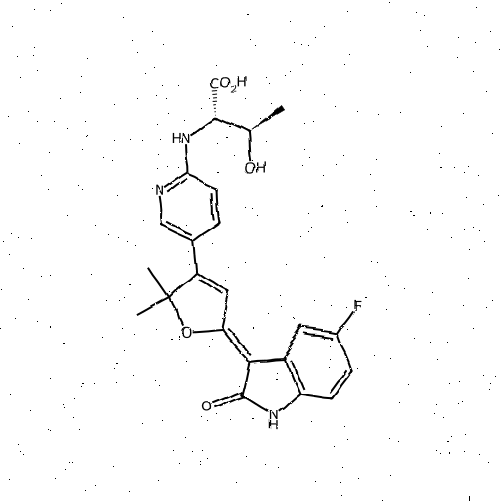 C[C@@H](O)[C@H](Nc1ccc(C2=CC(=C3C(=O)Nc4ccc(F)cc43)OC2(C)C)cn1)C(=O)O